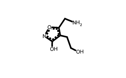 NCc1onc(O)c1CCO